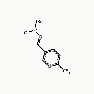 CC(C)(C)[S+]([O-])N=Cc1ccc(C(F)(F)F)nc1